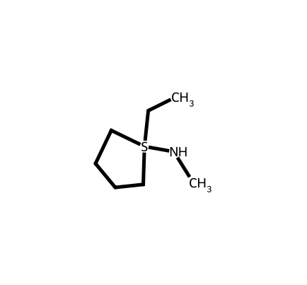 CCS1(NC)CCCC1